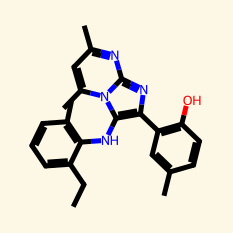 CCc1cccc(C)c1Nc1c(-c2cc(C)ccc2O)nc2nc(C)cc(C)n12